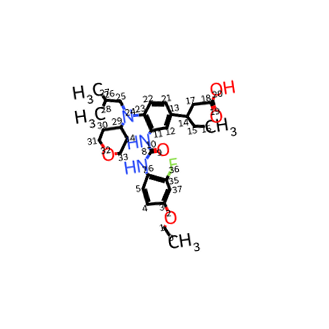 CCOc1ccc(NC(=O)Nc2cc(C(CC)CC(=O)O)ccc2N(CC(C)C)C2CCOCC2)c(F)c1